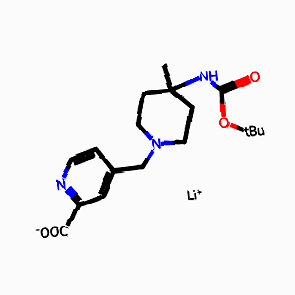 CC1(NC(=O)OC(C)(C)C)CCN(Cc2ccnc(C(=O)[O-])c2)CC1.[Li+]